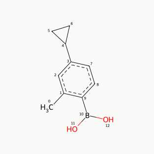 Cc1cc(C2CC2)ccc1B(O)O